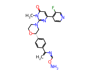 C=C(/N=C\ON)c1ccc([C@H]2CN(c3nc(-c4ccncc4F)cc(=O)n3C)CCO2)cc1